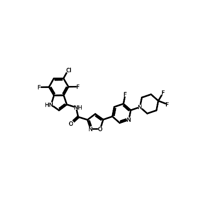 O=C(Nc1c[nH]c2c(F)cc(Cl)c(F)c12)c1cc(-c2cnc(N3CCC(F)(F)CC3)c(F)c2)on1